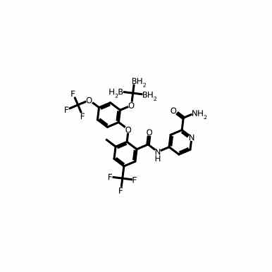 BC(B)(B)Oc1cc(OC(F)(F)F)ccc1Oc1c(C)cc(C(F)(F)F)cc1C(=O)Nc1ccnc(C(N)=O)c1